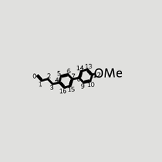 C=CCCc1ccc(-c2ccc(OC)cc2)cc1